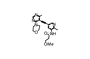 COCC[S+]([O-])Nc1cc(C#Cc2c(C)ncnc2N2CCOCC2)cnc1C